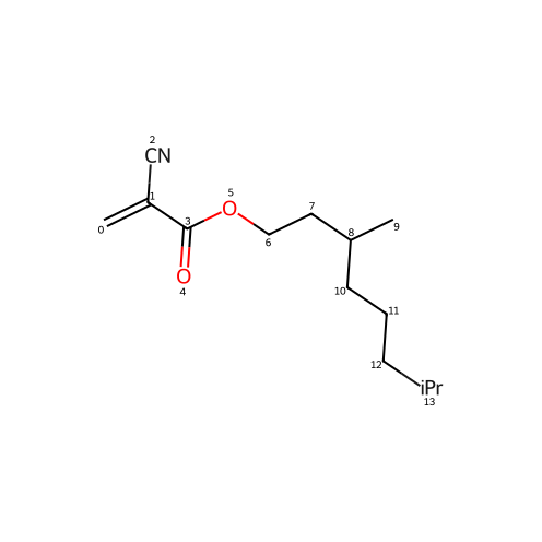 C=C(C#N)C(=O)OCCC(C)CCCC(C)C